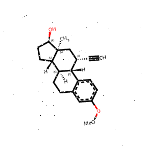 C#C[C@H]1C[C@]2(C)[C@H](O)CC[C@H]2[C@@H]2CCc3cc(OOC)ccc3[C@H]21